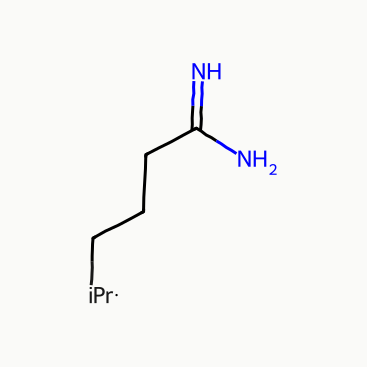 C[C](C)CCCC(=N)N